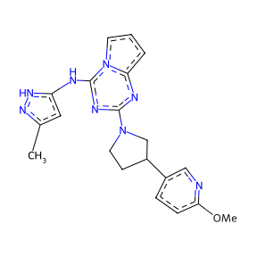 COc1ccc(C2CCN(c3nc(Nc4cc(C)n[nH]4)n4cccc4n3)C2)cn1